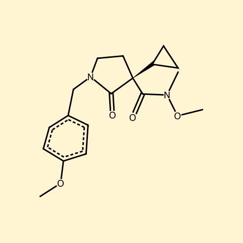 COc1ccc(CN2CC[C@@](C(=O)N(C)OC)(C3CC3)C2=O)cc1